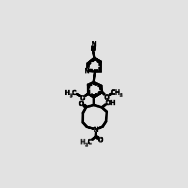 COc1cc(-c2ccc(C#N)cn2)cc(OC)c1C1C(=O)CCCN(C(C)=O)CCCC1O